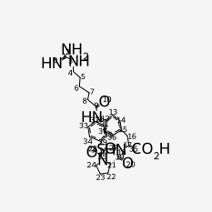 N=C(N)NCCCCCC(=O)Nc1ccc(CC(NC(=O)[C@@H]2CCCN2S(=O)(=O)c2ccccc2)C(=O)O)cc1